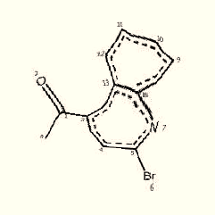 CC(=O)c1cc(Br)nc2ccccc12